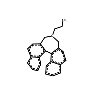 CCCN1Cc2ccc3ccccc3c2-c2c(ccc3ccccc23)C1